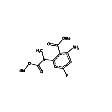 COC(=O)c1c(N)cc(F)cc1N(C)C(=O)OC(C)(C)C